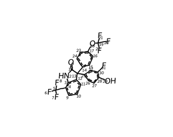 O=C1Nc2c(C(F)(F)F)cccc2C1(c1ccc(OC(F)(F)F)cc1)c1ccc(O)c(F)c1